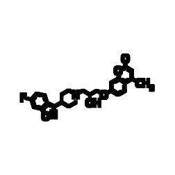 Cc1cc(=O)oc2cc(OCC(O)CN3CCC(c4noc5cc(F)ccc45)CC3)ccc12